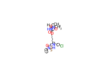 CC(C)(C)N1C(=O)C[C@@H](C(=O)OCCCCCc2cc(-c3ccc(Cl)cc3)[nH]c2/C=C2\SC(=S)N(C3C4CC5CC(C4)CC3C5)C2=O)NC1=O